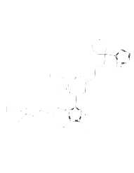 CC(C)(C)[S+]([O-])N[C@@H](CCCCCC1(c2ccon2)OCCO1)c1nc(Cl)c(Cl)n1COCC[Si](C)(C)C